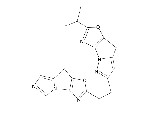 CC(C)c1nc2c(o1)Cc1cc(CC(C)c3nc4c(o3)Cc3cncn3-4)nn1-2